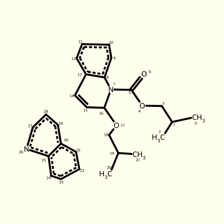 CC(C)COC(=O)N1c2ccccc2C=CC1OCC(C)C.c1ccc2ncccc2c1